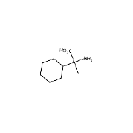 CC(N)(C(=O)O)C1CCCCC1